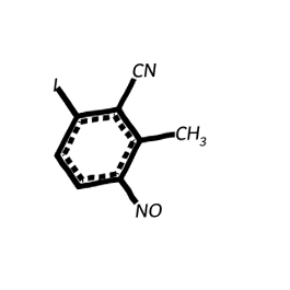 Cc1c(N=O)ccc(I)c1C#N